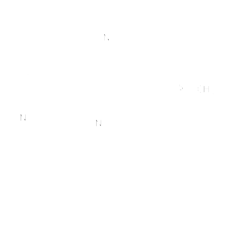 CSc1cccc(N(c2ccccc2)C(c2cccnc2)c2cccnc2)c1